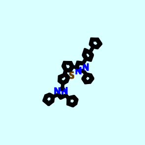 c1ccc(-c2ccc(-c3cc(-c4cccc5c4sc4cc(-c6nc(-c7ccccc7)cc(-c7ccccc7)n6)ccc45)nc(-c4ccccc4)n3)cc2)cc1